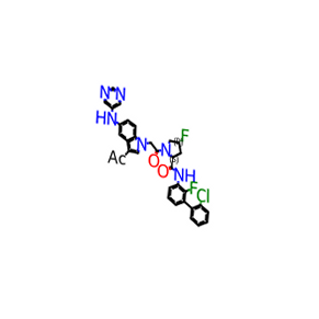 CC(=O)c1cn(CC(=O)N2C[C@H](F)C[C@H]2C(=O)Nc2cccc(-c3ccccc3Cl)c2F)c2ccc(Nc3cncnc3)cc12